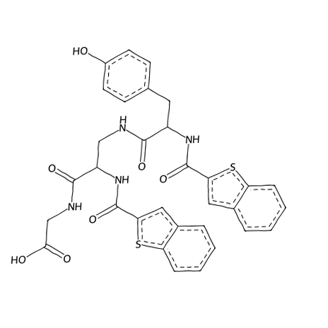 O=C(O)CNC(=O)C(CNC(=O)C(Cc1ccc(O)cc1)NC(=O)c1cc2ccccc2s1)NC(=O)c1cc2ccccc2s1